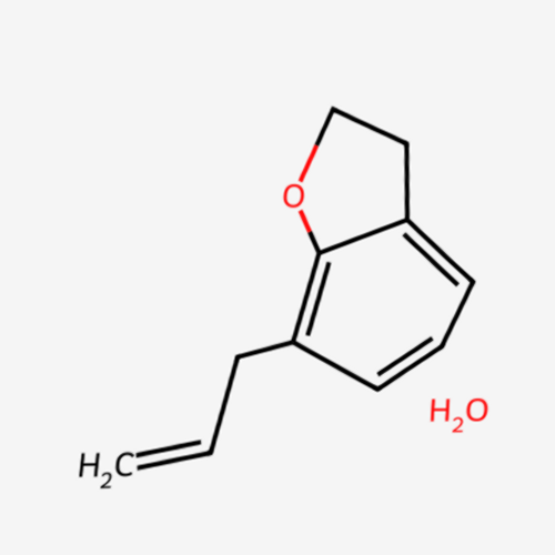 C=CCc1cccc2c1OCC2.O